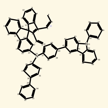 C=CC1=C(/C=C\C)c2ccccc2C12c1ccccc1-c1ccc(N(c3ccc(-c4ccccc4)cc3)c3ccc(-c4ccc5c(c4)c4ccccc4n5-c4ccccc4)cc3)cc12